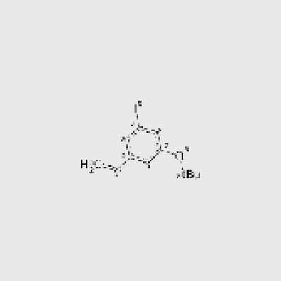 C=[C]c1cc(I)cc(OC(C)(C)C)c1